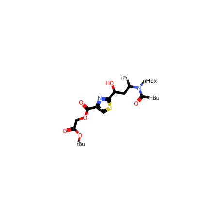 CCCCCCN(C(=O)CCCC)C(CC(O)c1nc(C(=O)OCC(=O)OC(C)(C)C)cs1)C(C)C